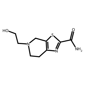 NC(=O)c1nc2c(s1)CN(CCO)CC2